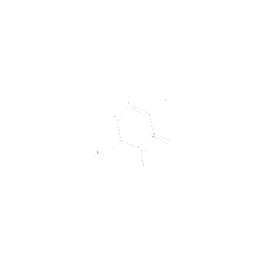 CSC1NN=C(O)C(=O)N1C